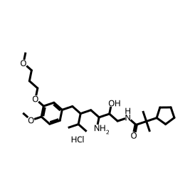 COCCCOc1cc(CC(CC(N)C(O)CNC(=O)C(C)(C)C2CCCC2)C(C)C)ccc1OC.Cl